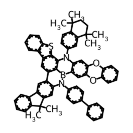 CC1(C)CCC(C)(C)c2cc(N3c4cc5c(cc4B4c6c(cc7c(sc8ccccc87)c63)-c3cc6c(cc3N4c3ccc(-c4ccccc4)cc3)C(C)(C)c3ccccc3-6)Oc3ccccc3O5)ccc21